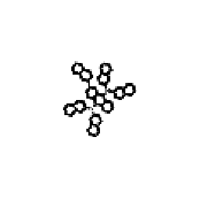 c1ccc2cc(-c3ccc4c(N(c5ccc6ccccc6c5)c5ccc6ccccc6c5)c5ccccc5c(N(c5ccc6ccccc6c5)c5ccc6ccccc6c5)c4c3)ccc2c1